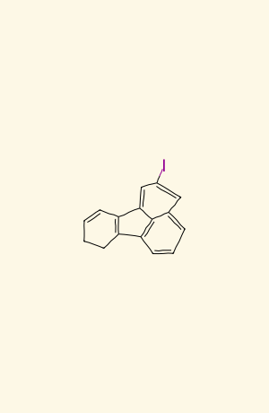 Ic1cc2c3c(cccc3c1)C1=C2C=CCC1